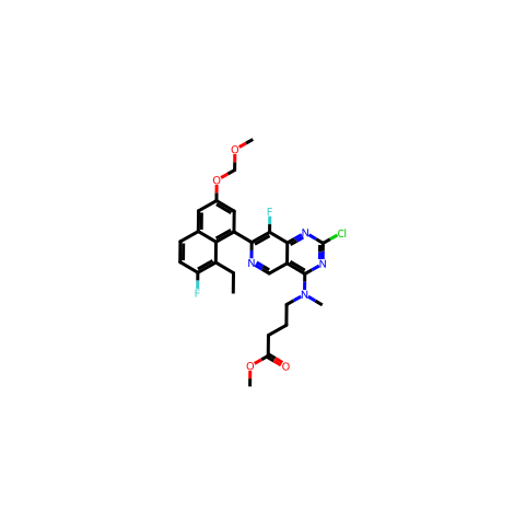 CCc1c(F)ccc2cc(OCOC)cc(-c3ncc4c(N(C)CCCC(=O)OC)nc(Cl)nc4c3F)c12